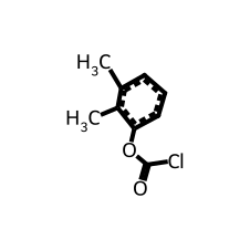 Cc1cccc(OC(=O)Cl)c1C